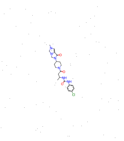 CC(CC(=O)N1CCC(N2CN3CN(C)C=C3C2=O)CC1)NC(=O)Nc1ccc(Cl)cc1